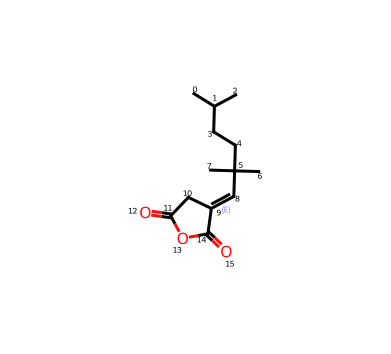 CC(C)CCC(C)(C)/C=C1\CC(=O)OC1=O